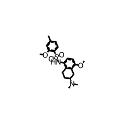 COc1cc(C)ccc1S(=O)(=O)Nc1ccc(OC)c2c1CC[C@H](N(C)C)C2